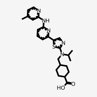 Cc1ccnc(Nc2cccc(-c3cnc(N(CC4CCC(C(=O)O)CC4)C(C)C)s3)n2)c1